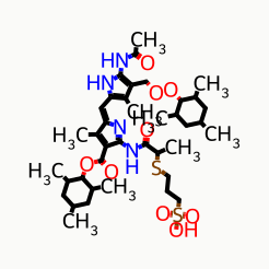 CC(=O)Nc1[nH]c(/C=C2\N=C(NC(=O)C(C)SCCCS(=O)(=O)O)C(C(=O)OC3C(C)CC(C)CC3C)=C2C)c(C)c1COOC1C(C)CC(C)CC1C